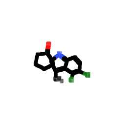 Cc1c2c(nc3ccc(Cl)c(Cl)c13)C(=O)CCC2